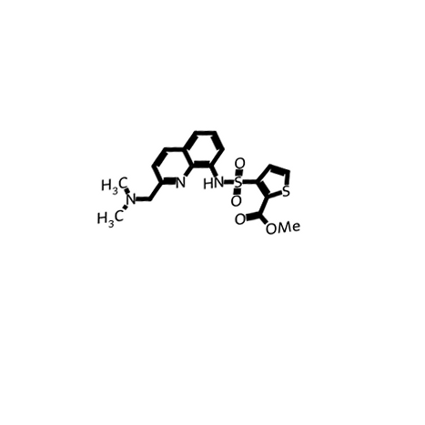 COC(=O)c1sccc1S(=O)(=O)Nc1cccc2ccc(CN(C)C)nc12